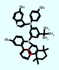 BC(B)(B)c1cc(N(c2ccc3c(c2)C(C)(C)CCC3(C)C)c2ccc(C(C)(C)C)cc2-c2ccccc2)cc(N(c2ccc(C(C)(C)C)cc2)c2csc3ccc(C(C)(C)C)cc23)c1